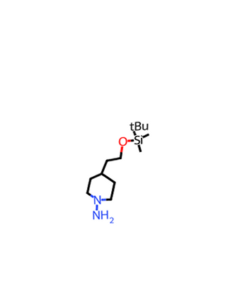 CC(C)(C)[Si](C)(C)OCCC1CCN(N)CC1